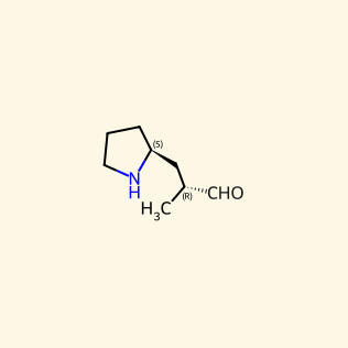 C[C@@H](C=O)C[C@@H]1CCCN1